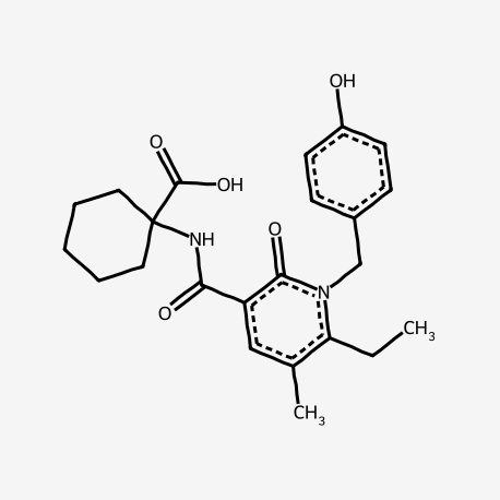 CCc1c(C)cc(C(=O)NC2(C(=O)O)CCCCC2)c(=O)n1Cc1ccc(O)cc1